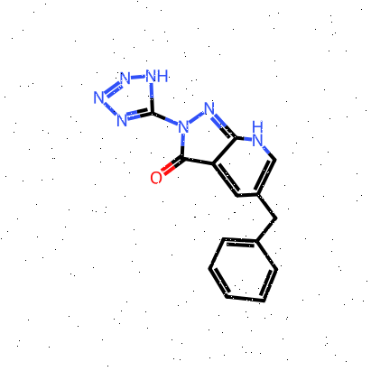 O=c1c2cc(Cc3ccccc3)c[nH]c-2nn1-c1nnn[nH]1